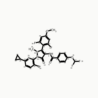 COc1cc(F)c(-c2c(NC(=O)c3ccc(OC(F)F)cc3)c(=O)n(-c3nc(C4CC4)ccc3Br)n2C)c(F)c1